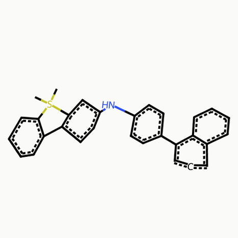 CS1(C)c2ccccc2-c2ccc(Nc3ccc(-c4cccc5ccccc45)cc3)cc21